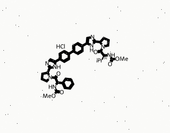 COC(=O)NC(C(=O)N1CCCC1c1ncc(-c2ccc(-c3ccc(-c4cnc(C5CCCN5C(=O)[C@@H](NC(=O)OC)C(C)C)[nH]4)cc3)cc2)[nH]1)c1ccccc1.Cl